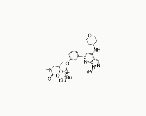 CC(C)n1ncc2c(NC3CCOCC3)cc(-c3cccc(OCC(CN(C)C(=O)OC(C)(C)C)O[Si](C)(C)C(C)(C)C)c3)nc21